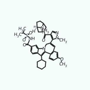 COc1ccc2c(c1)C=C(c1c(C(=O)N3CC4CC[C@H](C3)N4C)cnn1C)Cn1c-2c(C2CCCCC2)c2ccc(C(=O)NS(=O)(=O)C(C)C)cc21